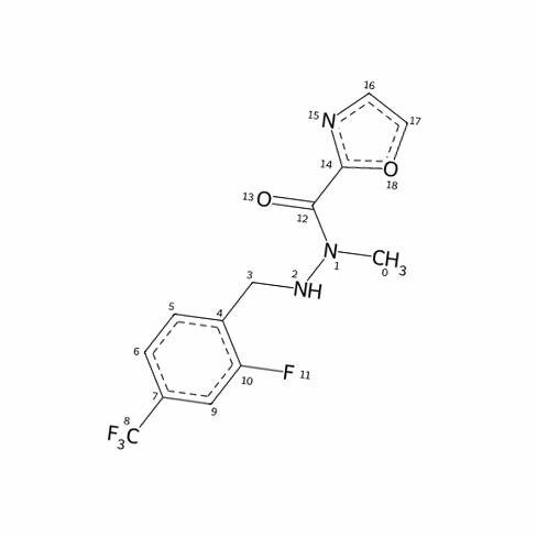 CN(NCc1ccc(C(F)(F)F)cc1F)C(=O)c1ncco1